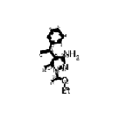 C=C(c1ccccc1)c1c(N)nn(C(C)OCC)c1C